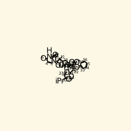 CO[C@@H](n1ccc(=O)[nH]c1=O)[C@](C)(F)[C@H](O)CCO[P@@](=O)(N[C@@H](C)C(=O)O[C@@H](C)C(=O)C(C)C)Oc1ccccc1